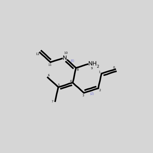 C=C/C=C\C(=C(C)C)/C(N)=N\C=C